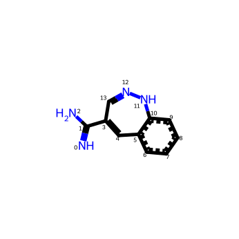 N=C(N)C1=Cc2ccccc2NN=C1